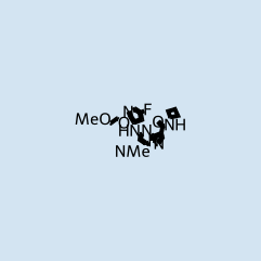 CNc1cc(Nc2cc(F)cnc2OCCOC)nc2c(C(=O)NC3CCC3)cnn12